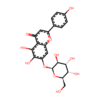 O=c1cc(-c2ccc(O)cc2)oc2cc(O[C@@H]3O[C@H](CO)[C@@H](O)[C@@H](O)[C@@H]3O)c(O)c(O)c12